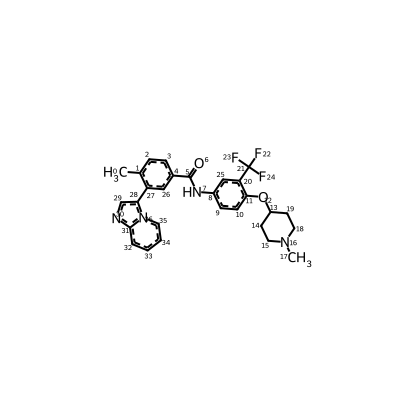 Cc1ccc(C(=O)Nc2ccc(OC3CCN(C)CC3)c(C(F)(F)F)c2)cc1-c1cnc2ccccn12